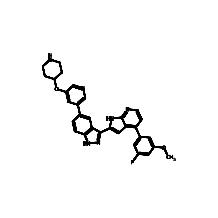 COc1cc(F)cc(-c2ccnc3[nH]c(-c4n[nH]c5ccc(-c6cncc(OC7CCNCC7)c6)cc45)cc23)c1